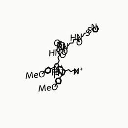 COc1ccc(C2=[N+]3C(=Cc4c(CCC[N+](C)(C)C)cc(-c5ccc(OC)cc5)n4[B-]3(F)F)C(CCC(=O)NC(CS(C)(=O)=O)C(=O)NCCCCC(=O)NCCSSc3ccccn3)=C2)cc1